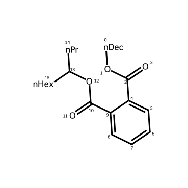 CCCCCCCCCCOC(=O)c1ccccc1C(=O)OC(CCC)CCCCCC